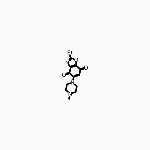 CCc1nc2c(o1)C(=O)C=C(N1CCN(C)CC1)C2=O